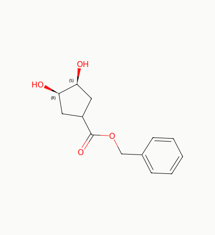 O=C(OCc1ccccc1)C1C[C@@H](O)[C@@H](O)C1